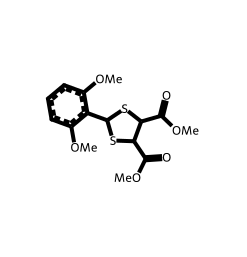 COC(=O)C1SC(c2c(OC)cccc2OC)SC1C(=O)OC